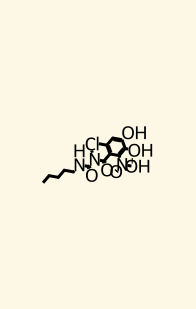 CCCCCNC(=O)N(C)C(=O)c1c(Cl)cc(O)c(O)c1[N+](=O)O